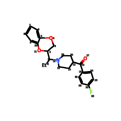 CCC(C1COc2ccccc2O1)N1CCC(C(=O)c2ccc(F)cc2)CC1